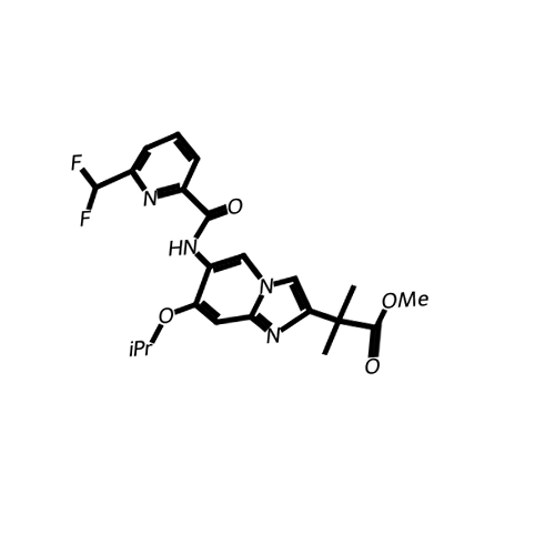 COC(=O)C(C)(C)c1cn2cc(NC(=O)c3cccc(C(F)F)n3)c(OC(C)C)cc2n1